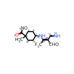 CC1(C(=O)N=O)CCC(N/C(=C(\C=N)C=O)C(F)(F)F)CC1